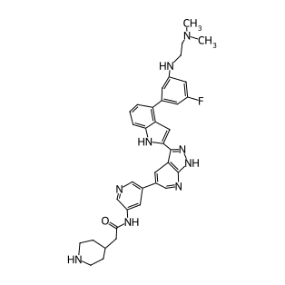 CN(C)CCNc1cc(F)cc(-c2cccc3[nH]c(-c4n[nH]c5ncc(-c6cncc(NC(=O)CC7CCNCC7)c6)cc45)cc23)c1